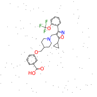 O=C(O)c1cccc(OCC2CCN(Cc3c(-c4ccccc4OC(F)(F)F)noc3C3CC3)CC2)c1